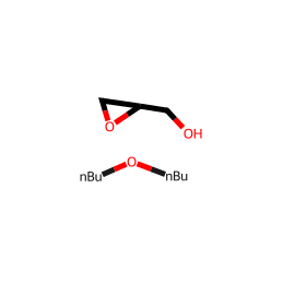 CCCCOCCCC.OCC1CO1